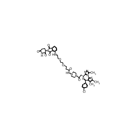 Cc1sc2c(c1C)C(c1ccc(Cl)cc1)=N[C@@H](CC(=O)N1CCN(NC(=O)CCOCCOCCNc3cccc4c3C(=O)N(C3CCC(=O)NC3=O)C4=O)CC1)c1nnc(C)n1-2